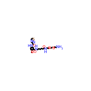 COc1ccc(NC(=O)C2CN3C=CSC3=N2)cc1C(=O)NCCCCCC(=O)NCCOCCOCCN